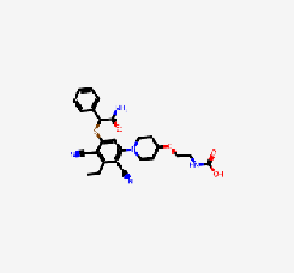 CCc1c(C#N)c(SC(C(N)=O)c2ccccc2)cc(N2CCC(OCCNC(=O)O)CC2)c1C#N